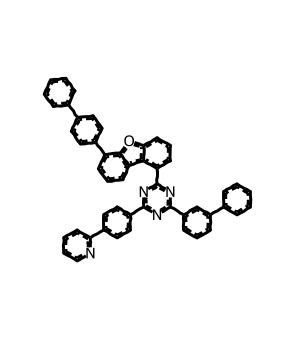 c1ccc(-c2ccc(-c3cccc4c3oc3cccc(-c5nc(-c6ccc(-c7ccccn7)cc6)nc(-c6cccc(-c7ccccc7)c6)n5)c34)cc2)cc1